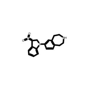 O=S(=O)=C1CN(c2ccc3c(c2)CCNCC3)c2ccccc21